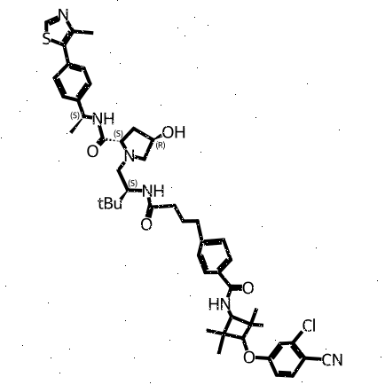 Cc1ncsc1-c1ccc([C@H](C)NC(=O)[C@@H]2C[C@@H](O)CN2C[C@@H](NC(=O)CCCc2ccc(C(=O)NC3C(C)(C)C(Oc4ccc(C#N)c(Cl)c4)C3(C)C)cc2)C(C)(C)C)cc1